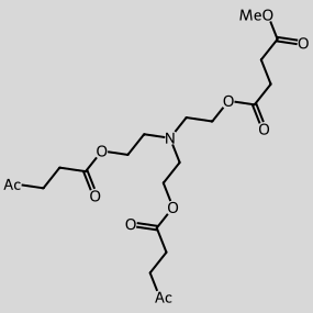 COC(=O)CCC(=O)OCCN(CCOC(=O)CCC(C)=O)CCOC(=O)CCC(C)=O